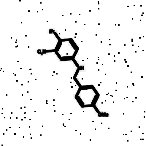 COc1ccc(CNc2ccc(C(C)C)c([N+](=O)[O-])c2)cc1